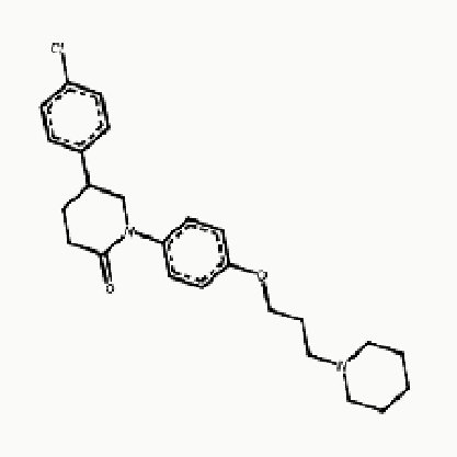 O=C1CCC(c2ccc(Cl)cc2)CN1c1ccc(OCCCN2CCCCC2)cc1